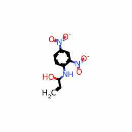 C=CC(O)Nc1ccc([N+](=O)[O-])cc1[N+](=O)[O-]